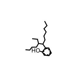 CCCCCCC(c1ccccc1O)C(CC)CCCC